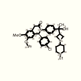 CCN1CCC(N2CC(C(C)(O)c3ccc(N4C(=O)Cc5cc(OC)c(OC(C)C)cc5[C@@H]4c4ccc(Cl)cc4)cc3)C2)CC1